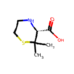 CC1(C)SCCN[C@@H]1C(=O)O